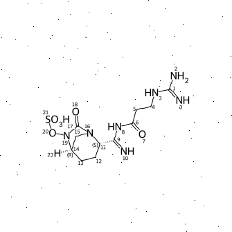 N=C(N)NCCC(=O)NC(=N)[C@@H]1CC[C@@H]2CN1C(=O)N2OS(=O)(=O)O